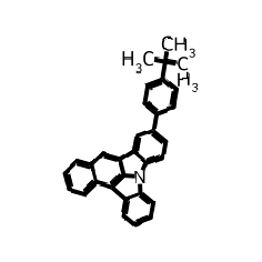 CC(C)(C)c1ccc(-c2ccc3c(c2)c2cc4ccccc4c4c5ccccc5n3c24)cc1